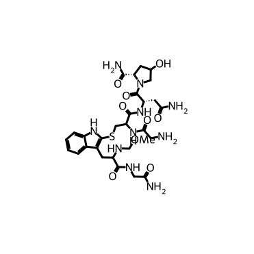 COCNC(Cc1c(SCC(NC(=O)CN)C(=O)N[C@@H](CC(N)=O)C(=O)N2CC(O)C[C@H]2C(N)=O)[nH]c2ccccc12)C(=O)NCC(N)=O